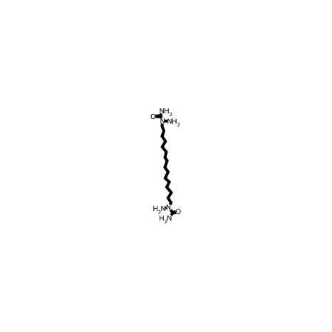 NC(=O)N(N)CCCCCCCCCCCCCCCCN(N)C(N)=O